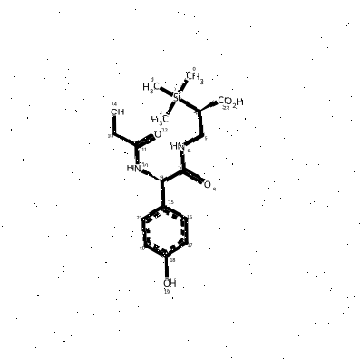 C[Si](C)(C)[C@H](CNC(=O)[C@H](NC(=O)CO)c1ccc(O)cc1)C(=O)O